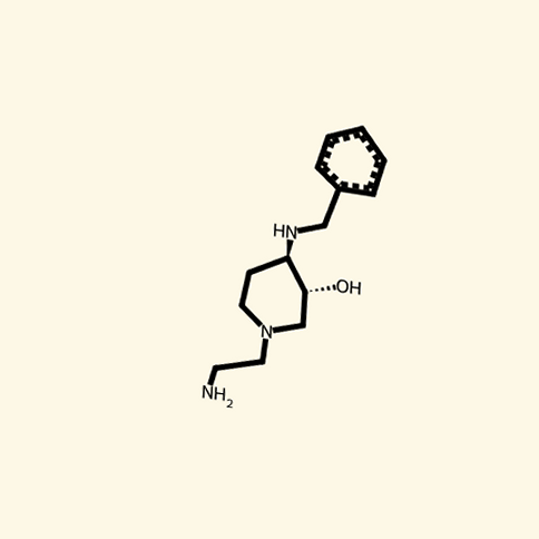 NCCN1CC[C@@H](NCc2ccccc2)[C@H](O)C1